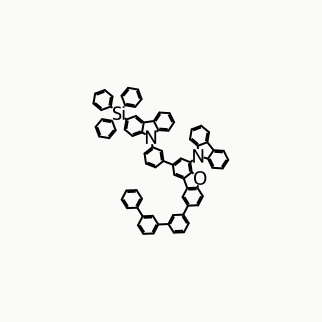 c1ccc(-c2cccc(-c3cccc(-c4ccc5oc6c(-n7c8ccccc8c8ccccc87)cc(-c7cccc(-n8c9ccccc9c9cc([Si](c%10ccccc%10)(c%10ccccc%10)c%10ccccc%10)ccc98)c7)cc6c5c4)c3)c2)cc1